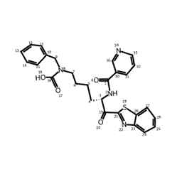 O=C(N[C@@H](CCCCN(Cc1ccccc1)C(=O)O)C(=O)c1nc2ccccc2s1)c1cccnc1